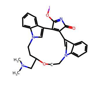 CN(C)CC1CCn2cc(c3ccccc32)C2=C(C(=O)N=C2OI)c2cn(c3ccccc23)CCO1